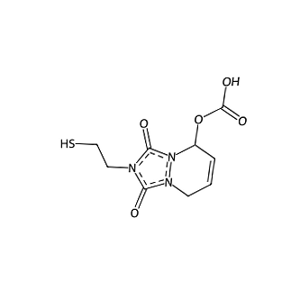 O=C(O)OC1C=CCn2c(=O)n(CCS)c(=O)n21